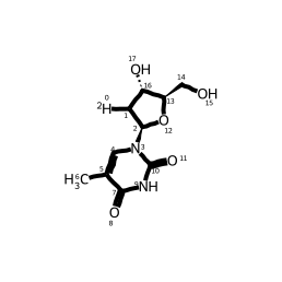 [2H]C1[C@H](n2cc(C)c(=O)[nH]c2=O)O[C@H](CO)[C@H]1O